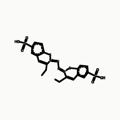 CCC1=Cc2cc(S(=O)(=O)O)ccc2S[N+]1=NN=[N+]1Sc2ccc(S(=O)(=O)O)cc2C=C1CC